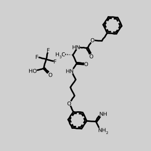 C[C@H](NC(=O)OCc1ccccc1)C(=O)NCCCOc1cccc(C(=N)N)c1.O=C(O)C(F)(F)F